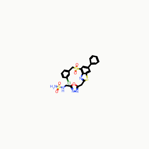 NS(=O)(=O)NCc1nnc(Cc2nc3c(S(=O)(=O)Cc4cccc(Cl)c4)cc(-c4ccccc4)cc3s2)o1